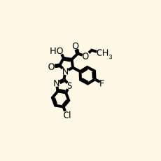 CCOC(=O)C1=C(O)C(=O)N(c2nc3ccc(Cl)cc3s2)C1c1ccc(F)cc1